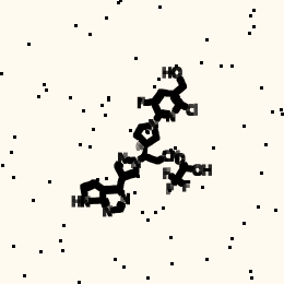 N#CCC([C@H]1CCN(c2nc(Cl)c(CO)cc2F)C1)n1cc(-c2ncnc3[nH]ccc23)cn1.O=C(O)C(F)(F)F